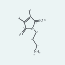 CC1=C(C)C(=O)N(CCCN)C1=O